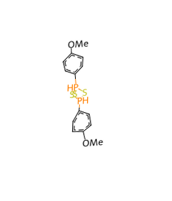 COc1ccc([PH]23S[PH](c4ccc(OC)cc4)(S2)S3)cc1